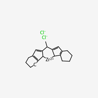 CC1C2=CC3=C(CCCC3)[CH]2[Zr+2][CH]2C1=CC1=C2CCCC1.[Cl-].[Cl-]